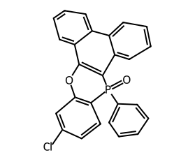 O=P1(c2ccccc2)c2ccc(Cl)cc2Oc2c1c1ccccc1c1ccccc21